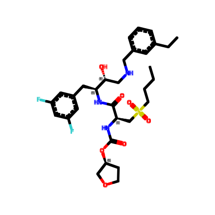 CCCCS(=O)(=O)C[C@@H](NC(=O)O[C@H]1CCOC1)C(=O)N[C@@H](Cc1cc(F)cc(F)c1)[C@H](O)CNCc1cccc(CC)c1